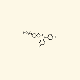 O=C(O)N1CCC2(CC(OC(c3ccc(F)cc3)c3ccc(F)cc3)C2)C1